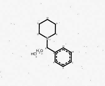 Cl.O.c1ccc(CN2CCCCC2)cc1